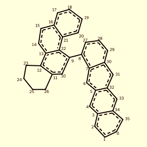 c1ccc2cc3cc4c(-c5cc6c(c7ccc8ccccc8c57)CCCC6)cccc4cc3cc2c1